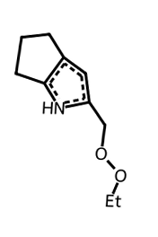 CCOOCc1cc2c([nH]1)CCC2